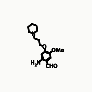 COc1cc(C=O)c(N)cc1OCCCN1CCCCC1